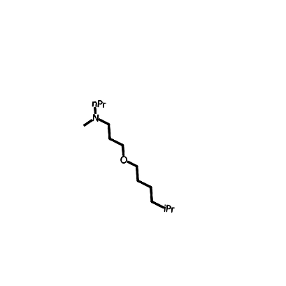 CCCN(C)CCCOCCCCC(C)C